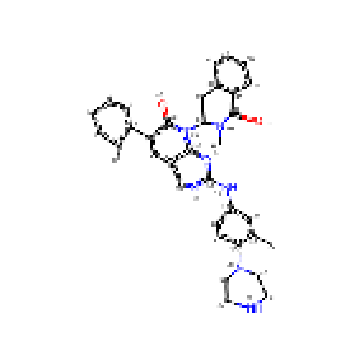 Cc1ccccc1-c1cc2cnc(Nc3ccc(N4CCNCC4)c(C)c3)nc2n(C2Cc3ccccc3C(=O)N2C)c1=O